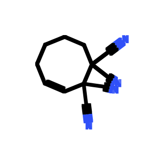 N#CC1(C#N)C=CCCCCC1(C#N)C#N